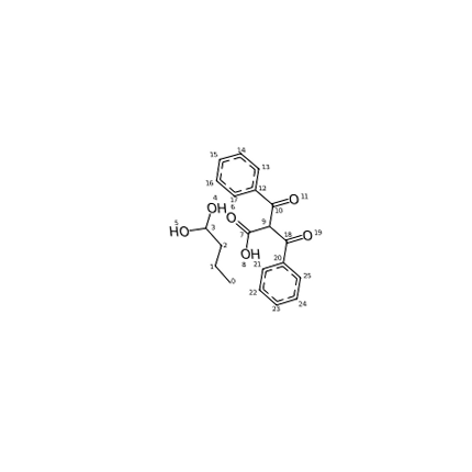 CCCC(O)O.O=C(O)C(C(=O)c1ccccc1)C(=O)c1ccccc1